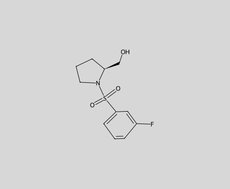 O=S(=O)(c1cccc(F)c1)N1CCC[C@H]1CO